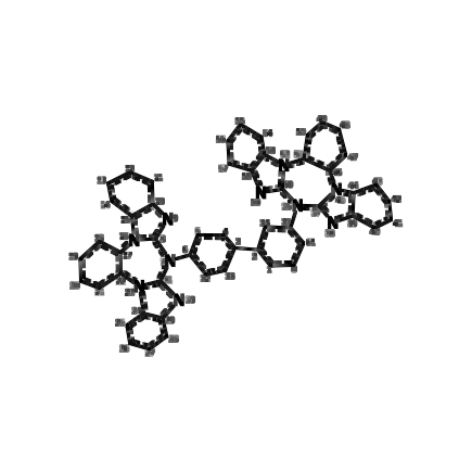 c1cc(-c2ccc(-n3c4nc5ccccc5n4c4ccccc4n4c5ccccc5nc34)cc2)cc(-n2c3nc4ccccc4n3c3ccccc3n3c4ccccc4nc23)c1